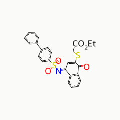 CCOC(=O)CSC1=C/C(=N\S(=O)(=O)c2ccc(-c3ccccc3)cc2)c2ccccc2C1=O